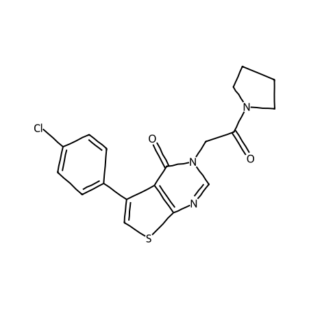 O=C(Cn1cnc2scc(-c3ccc(Cl)cc3)c2c1=O)N1CCCC1